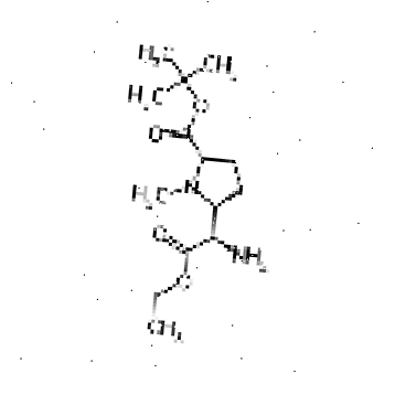 CCOC(=O)[C@H](N)[C@@H]1CC[C@H](C(=O)OC(C)(C)C)N1C